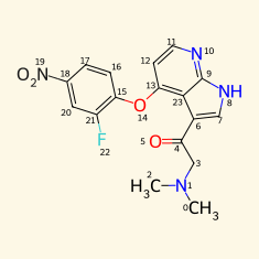 CN(C)CC(=O)c1c[nH]c2nccc(Oc3ccc([N+](=O)[O-])cc3F)c12